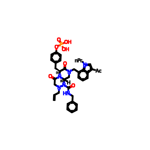 C=CCN1CC(=O)N2[C@@H](Cc3ccc(OP(=O)(O)O)cc3)C(=O)N(Cc3cccc4c(C(C)=O)cn(CCC)c34)C[C@@H]2N1C(=O)NCc1ccccc1